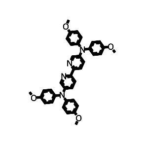 COc1ccc(N(c2ccc(OC)cc2)c2ccc(-c3ccc(N(c4ccc(OC)cc4)c4ccc(OC)cc4)cn3)nc2)cc1